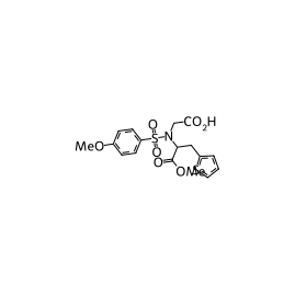 COC(=O)C(Cc1cccs1)N(CC(=O)O)S(=O)(=O)c1ccc(OC)cc1